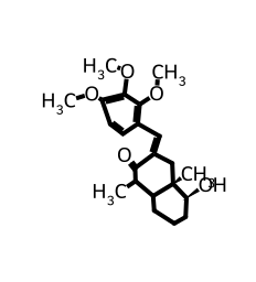 COc1ccc(/C=C2/C[C@@]3(C)C(CCC[C@@H]3O)C(C)C2=O)c(OC)c1OC